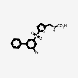 CCc1cc(-c2ccccc2)cc(S(=O)(=O)c2ccc(CNC(=O)O)s2)c1